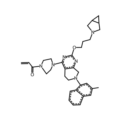 C=CC(=O)N1CCN(c2nc(OCCCN3CC4CC4C3)nc3c2CCN(c2cc(C)cc4ccccc24)C3)CC1